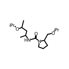 CC(CC(C)OC(C)C)NC(=O)N1CCCC1COC(C)C